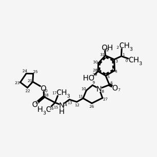 CC(C)c1cc(C(=O)N2CCC(CCNC(C)(C)C(=O)OC3CCCC3)CC2)c(O)cc1O